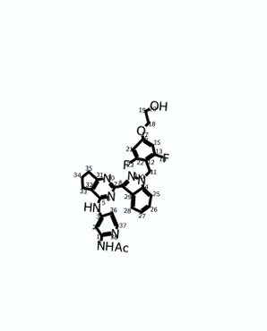 CC(=O)Nc1cc(Nc2nc(-c3nn(Cc4c(F)cc(OCCO)cc4F)c4ccccc34)nc3c2CCC3)ccn1